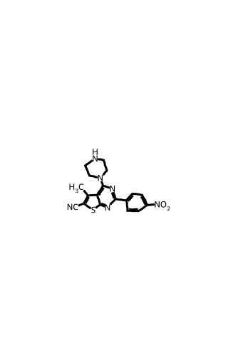 Cc1c(C#N)sc2nc(-c3ccc([N+](=O)[O-])cc3)nc(N3CCNCC3)c12